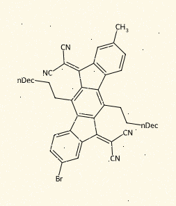 CCCCCCCCCCCCc1c2c(c(CCCCCCCCCCCC)c3c1-c1ccc(C)cc1C3=C(C#N)C#N)-c1ccc(Br)cc1C2=C(C#N)C#N